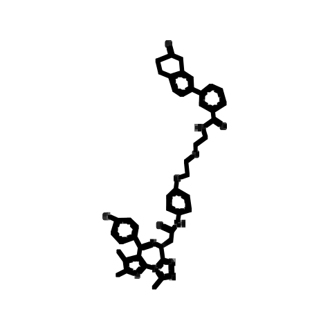 Cc1sc2c(c1C)C(c1ccc(Cl)cc1)=N[C@@H](CC(=O)Nc1ccc(OCCOCCNC(=O)c3cccc(-c4ccc5c(c4)CC(=O)CC5)c3)cc1)c1nnc(C)n1-2